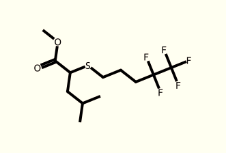 COC(=O)C(CC(C)C)SCCCC(F)(F)C(F)(F)F